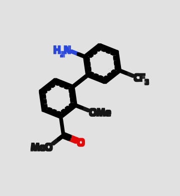 COC(=O)c1cccc(-c2cc(C(F)(F)F)ccc2N)c1OC